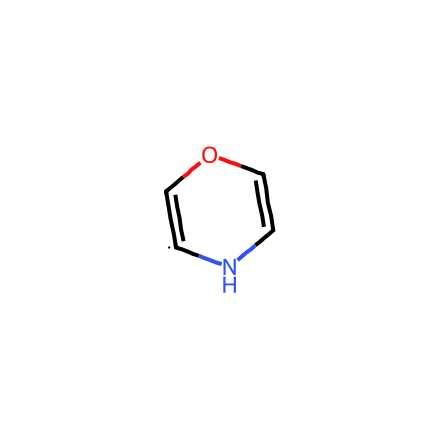 [C]1=COC=CN1